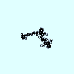 CC(=O)Oc1cc2c(c3ccccc13)[C@H](CCl)CN2C(=O)c1ccc(C(=O)N2CC(CCl)c3c2cc(OC(=O)NCCOCCOCCN2C(=O)C=CC2=O)c2ccccc32)s1